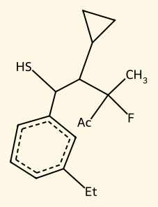 CCc1cccc(C(S)C(C2CC2)C(C)(F)C(C)=O)c1